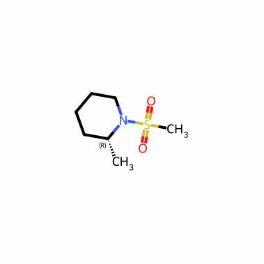 C[C@@H]1CCCCN1S(C)(=O)=O